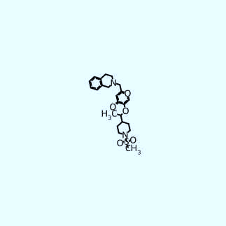 CC(Oc1coc(CN2CCc3ccccc3C2)cc1=O)C1CCN(S(C)(=O)=O)CC1